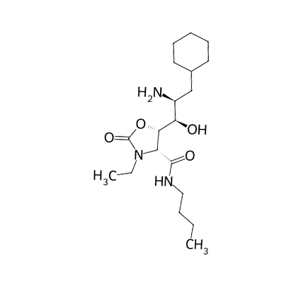 CCCCNC(=O)[C@H]1[C@@H]([C@H](O)[C@@H](N)CC2CCCCC2)OC(=O)N1CC